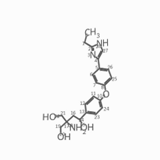 CCc1nc(-c2ccc(Oc3ccc(C(O)CC(N)(CO)CO)cc3)cc2)c[nH]1